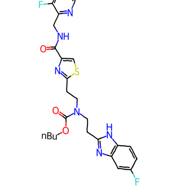 CCCCOC(=O)N(CCc1nc2cc(F)ccc2[nH]1)CCc1nc(C(=O)NCc2ncccc2F)cs1